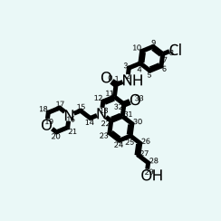 O=C(NCc1ccc(Cl)cc1)c1cn(CCN2CCOCC2)c2ccc(/C=C/CO)cc2c1=O